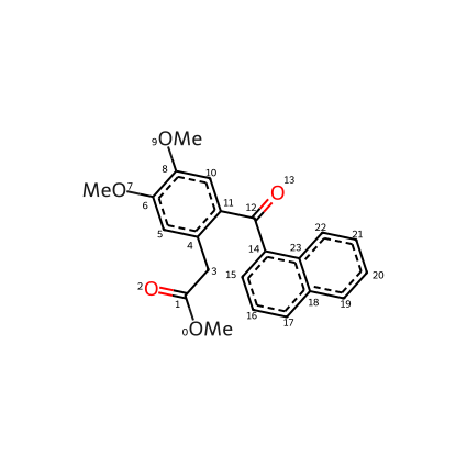 COC(=O)Cc1cc(OC)c(OC)cc1C(=O)c1cccc2ccccc12